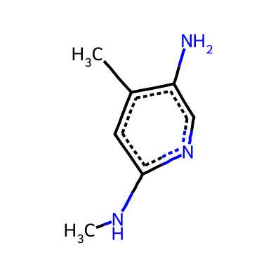 CNc1cc(C)c(N)cn1